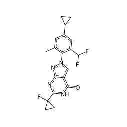 Cc1cc(C2CC2)cc(C(F)F)c1-n1cc2c(=O)[nH]c(C3(F)CC3)nc2n1